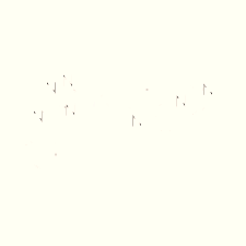 COc1nc(/C=C/c2nc3n(n2)CCCN3c2ccccc2)ccc1-n1cnc(C)c1